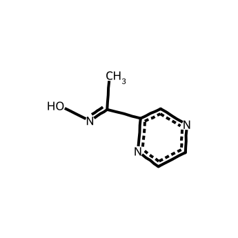 CC(=NO)c1cnccn1